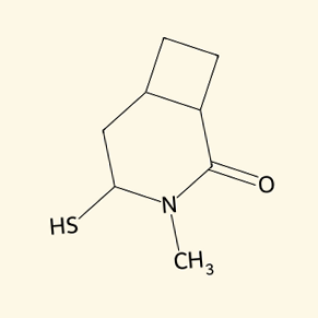 CN1C(=O)C2CCC2CC1S